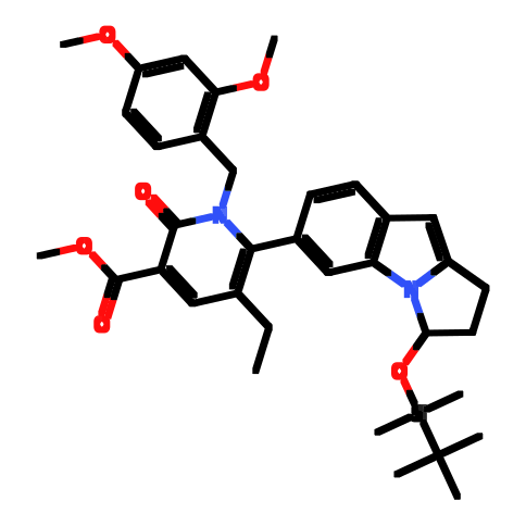 CCc1cc(C(=O)OC)c(=O)n(Cc2ccc(OC)cc2OC)c1-c1ccc2cc3n(c2c1)C(O[Si](C)(C)C(C)(C)C)CC3